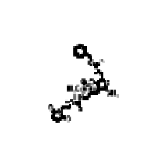 B[C@@H]1O[C@H](COC(=O)OCc2ccccc2)[C@H](OP(=O)(O)OC)C1CCCNC(=S)NCCN1C(=O)C=CC1=O